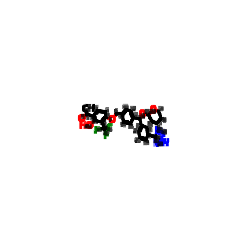 CC(=O)c1ccc(OCc2ccc(C(OC3CCCCO3)c3cccc(-c4nn[nH]n4)c3)cc2)c(C(F)(F)F)c1O